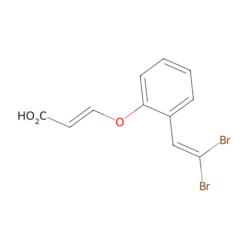 O=C(O)C=COc1ccccc1C=C(Br)Br